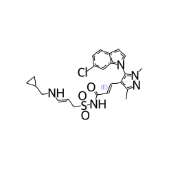 Cc1nn(C)c(-n2ccc3ccc(Cl)cc32)c1/C=C/C(=O)NS(=O)(=O)CC=CNCC1CC1